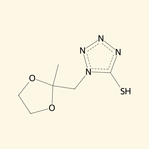 CC1(Cn2nnnc2S)OCCO1